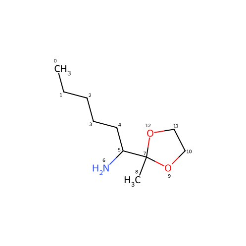 CCCCCC(N)C1(C)OCCO1